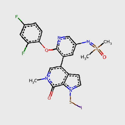 Cn1cc(-c2cc(N=S(C)(C)=O)cnc2Oc2ccc(F)cc2F)c2ccn(SI)c2c1=O